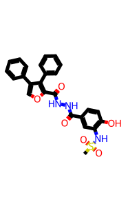 CS(=O)(=O)Nc1cc(C(=O)NNC(=O)c2occ(-c3ccccc3)c2-c2ccccc2)ccc1O